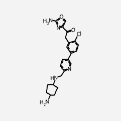 Nc1nc(C(=O)Cc2cc(-c3ccc(CNC4CCC(N)CC4)nc3)ccc2Cl)co1